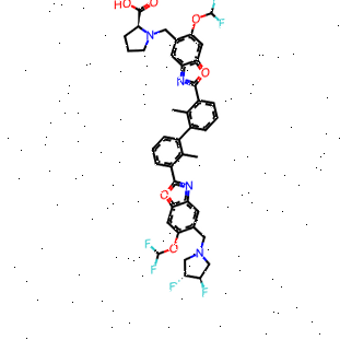 Cc1c(-c2nc3cc(CN4C[C@@H](F)[C@H](F)C4)c(OC(F)F)cc3o2)cccc1-c1cccc(-c2nc3cc(CN4CCC[C@H]4C(=O)O)c(OC(F)F)cc3o2)c1C